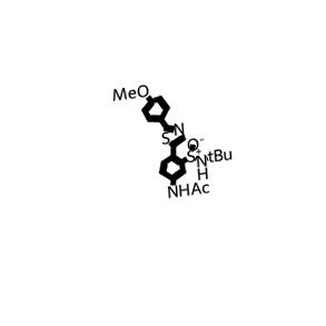 COc1ccc(-c2ncc(-c3ccc(NC(C)=O)cc3[S+]([O-])NC(C)(C)C)s2)cc1